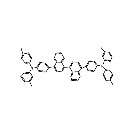 Cc1ccc(N(c2ccc(-c3ccc(-c4ccc(-c5ccc(N(c6ccc(C)cc6)c6cccc(C)c6)cc5)c5ccccc45)c4ccccc34)cc2)c2cccc(C)c2)cc1